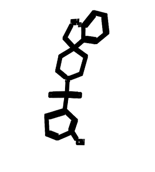 N#Cc1cccc(S(=O)(=O)N2CCC(CN)(c3ccccc3)CC2)c1